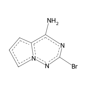 Nc1nc(Br)nn2cccc12